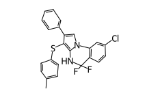 Cc1ccc(Sc2c(-c3ccccc3)cn3c2NC(F)(F)c2ccc(Cl)cc2-3)cc1